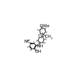 CO[C@H]1CC[C@](C)(N2CCC(Nc3cc(C#N)ccc3O)CC2)CC1